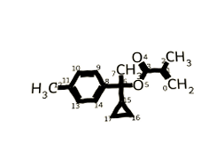 C=C(C)C(=O)OC(C)(c1ccc(C)cc1)C1CC1